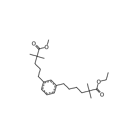 CCOC(=O)C(C)(C)CCCCc1cccc(CCCC(C)(C)C(=O)OC)c1